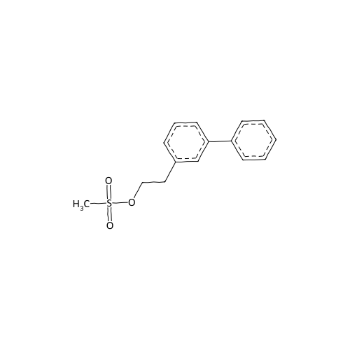 CS(=O)(=O)OCCc1cccc(-c2ccccc2)c1